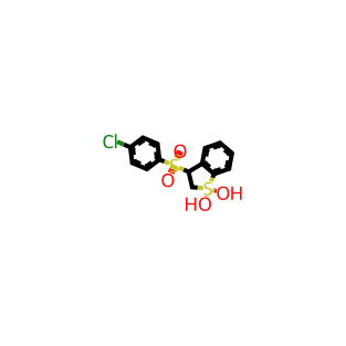 O=S(=O)(c1ccc(Cl)cc1)C1CS(O)(O)c2ccccc21